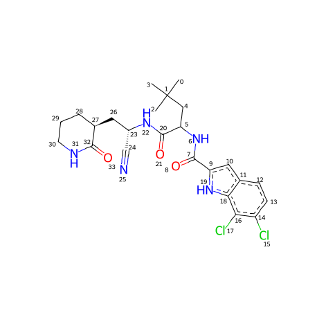 CC(C)(C)CC(NC(=O)c1cc2ccc(Cl)c(Cl)c2[nH]1)C(=O)N[C@H](C#N)C[C@@H]1CCCNC1=O